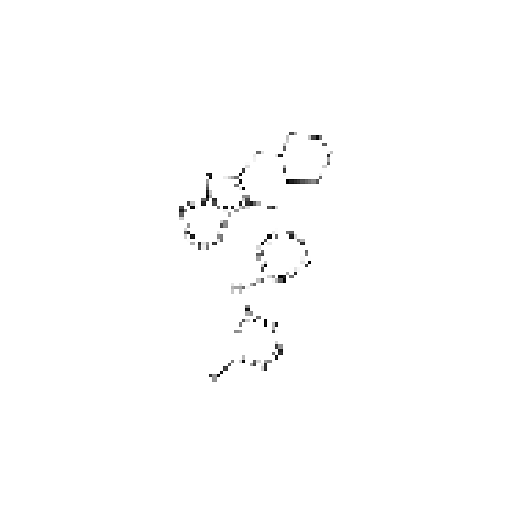 Clc1cc(Nc2cccc(Cn3c(CN4CCOCC4)nc4ccccc43)c2)ncn1